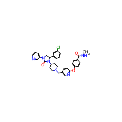 CNC(=O)c1ccc(Oc2ccc(CN3CCC(N4C(=O)N(c5cccnc5)CC4c4cccc(Cl)c4)CC3)cn2)cc1